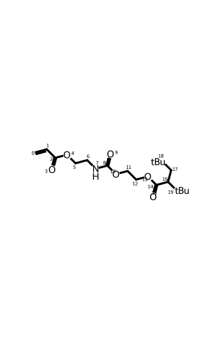 C=CC(=O)OCCNC(=O)OCCOC(=O)C(CC(C)(C)C)C(C)(C)C